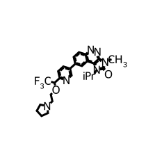 CC(C)n1c(=O)n(C)c2nnc3ccc(-c4ccc(C(OCCN5CCCC5)C(F)(F)F)nc4)cc3c21